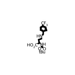 CC(C)(C)OC(=O)NC(CCNCc1ccc(C(F)(F)F)cc1)C(=O)O